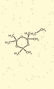 C[Si]1(C)O[Si](C)(C)O[Si](C)(C)O1.[CH2]C